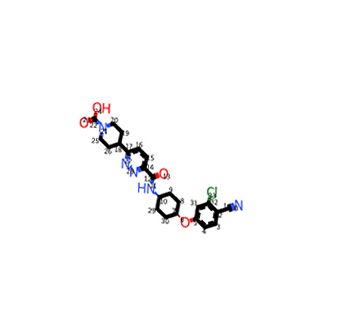 N#Cc1ccc(O[C@H]2CC[C@H](NC(=O)c3ccc(C4CCN(C(=O)O)CC4)nn3)CC2)cc1Cl